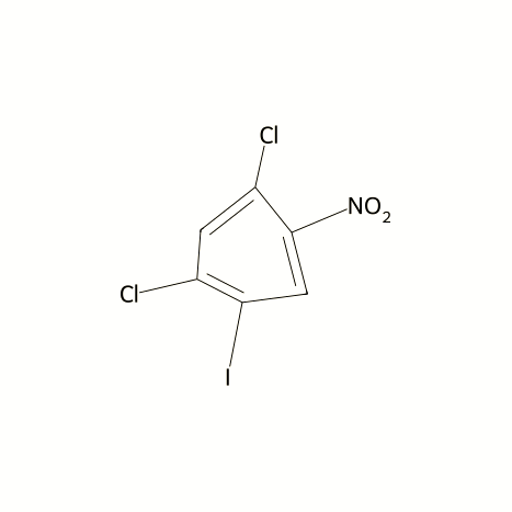 O=[N+]([O-])c1cc(I)c(Cl)cc1Cl